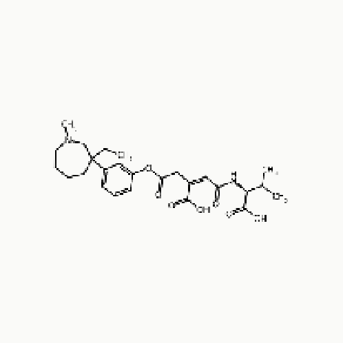 CCC1(c2cccc(OC(=O)C/C(=C/C(=O)N[C@H](C(=O)O)C(C)C)C(=O)O)c2)CCCCN(C)C1